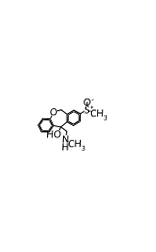 CNCC1(O)c2ccc([S+](C)[O-])cc2COc2ccccc21